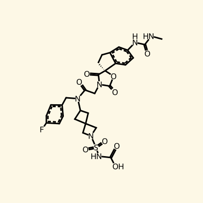 CNC(=O)Nc1ccc2c(c1)CC[C@@]21OC(=O)N(CC(=O)N(Cc2ccc(F)cc2)C2CC3(C2)CN(S(=O)(=O)NC(=O)O)C3)C1=O